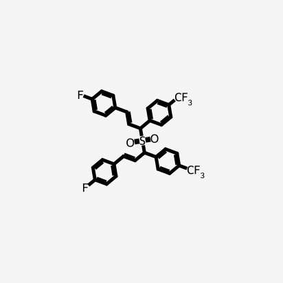 O=S(=O)(C(C=Cc1ccc(F)cc1)c1ccc(C(F)(F)F)cc1)C(C=Cc1ccc(F)cc1)c1ccc(C(F)(F)F)cc1